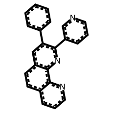 c1ccc(-c2cc3ccc4cccnc4c3nc2-c2cccnc2)cc1